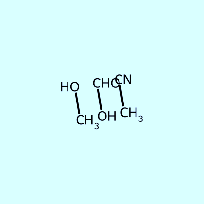 CC#N.CO.O=CO